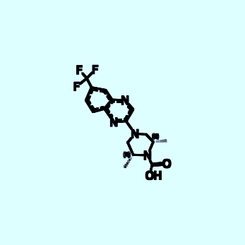 C[C@@H]1CN(c2cnc3cc(C(F)(F)F)ccc3n2)C[C@H](C)N1C(=O)O